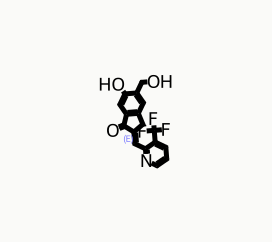 O=C1/C(=C/c2ncccc2C(F)(F)F)Cc2cc(CO)c(O)cc21